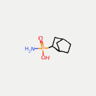 NP(=O)(O)C1CC2CCC1C2